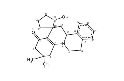 CC1(C)CC(=O)C2=C(C1)N1CCc3ccccc3C1CC21CCC[S+]1[O-]